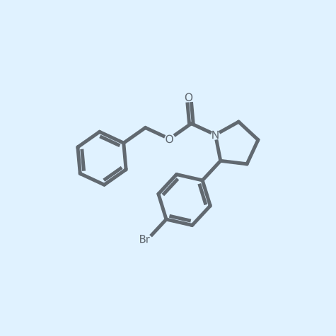 O=C(OCc1ccccc1)N1CCCC1c1ccc(Br)cc1